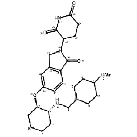 COC1CCC(CN[C@@H]2CCCC[C@H]2Oc2ccc3c(c2)CN(C2CCC(=O)NC2=O)C3=O)CC1